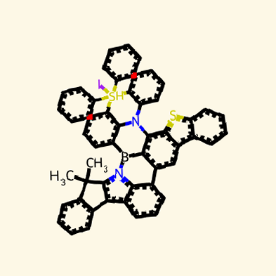 CC1(C)c2ccccc2-c2c1n1c3c(cccc23)-c2cc3c(sc4ccccc43)c3c2B1c1cccc2c1N3c1ccccc1[SH]2(I)(c1ccccc1)c1ccccc1